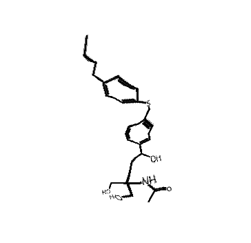 CCCCc1ccc(Sc2ccc(C(O)CC(CO)(CO)NC(C)=O)cc2)cc1